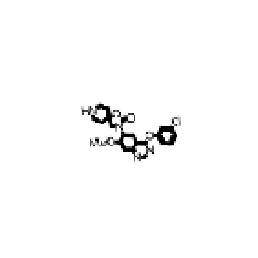 COc1cc2ncnc(Oc3cccc(Cl)c3)c2cc1N1CC2(CCNCC2)OC1=O